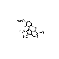 COc1ccc(C)c(-n2c(N)c(C#N)c3cnc(C4CC4)c(F)c32)c1C